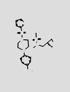 CC1(CN(C[C@H]2CN(S(=O)(=O)c3cccs3)CCN2c2ccc(O)cc2)S(C)(=O)=O)COC1